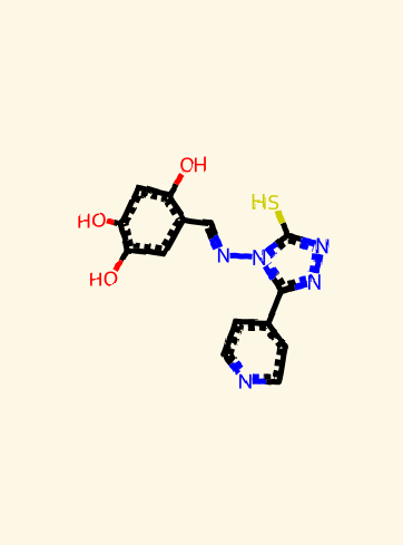 Oc1cc(O)c(C=Nn2c(S)nnc2-c2ccncc2)cc1O